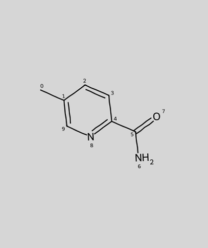 Cc1ccc(C(N)=O)nc1